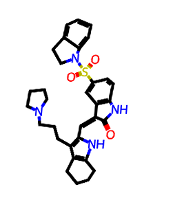 O=C1Nc2ccc(S(=O)(=O)N3CCc4ccccc43)cc2/C1=C/c1[nH]c2c(c1CCCN1CCCC1)CCCC2